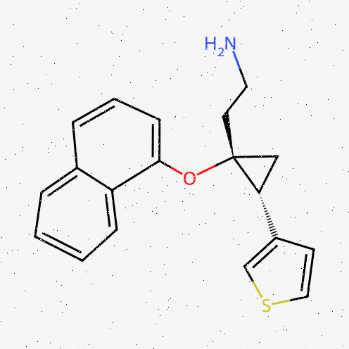 NCC[C@@]1(Oc2cccc3ccccc23)C[C@@H]1c1ccsc1